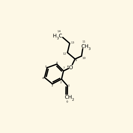 C=Cc1ccccc1OC(CC)CCC